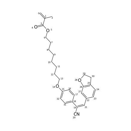 C=C(C)C(=O)OCCCCCCCCOc1ccc(C(C#N)=Cc2ccc3c(c2)OCC3)cc1